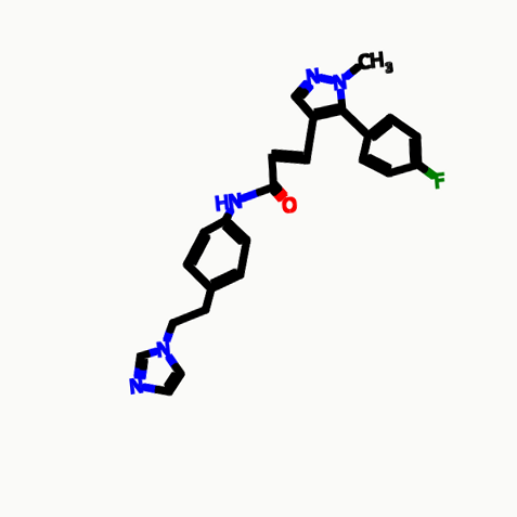 Cn1ncc(C=CC(=O)Nc2ccc(CCn3ccnc3)cc2)c1-c1ccc(F)cc1